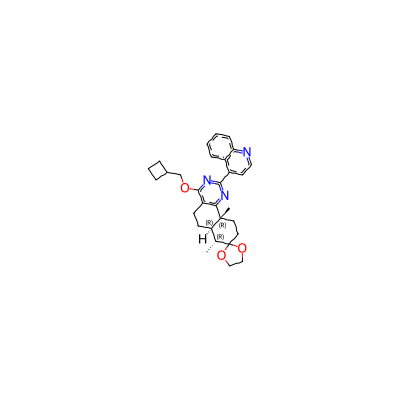 C[C@@H]1[C@H]2CCc3c(OCC4CCC4)nc(-c4ccnc5ccccc45)nc3[C@]2(C)CCC12OCCO2